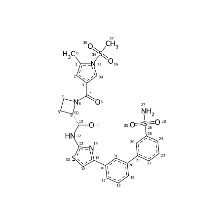 Cc1cc(C(=O)N2CC[C@H]2C(=O)Nc2nc(-c3cccc(-c4cccc(S(N)(=O)=O)c4)c3)cs2)cn1S(C)(=O)=O